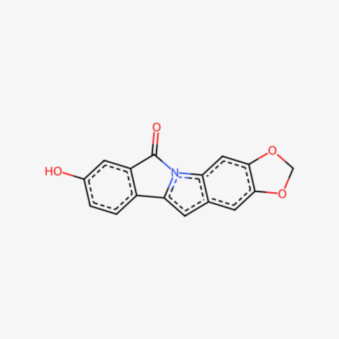 O=C1c2cc(O)ccc2-c2cc3cc4c(cc3n21)OCO4